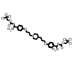 N/C(=N\C(=O)OCC(Cl)(Cl)Cl)c1ccc(OCCCC2CCN(CCCOc3ccc(/C(N)=N/C(=O)OCC(Cl)(Cl)Cl)cc3)CC2)cc1